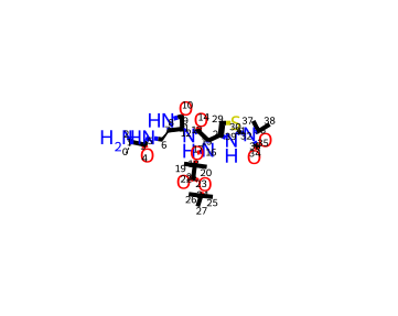 C[C@H](N)C(=O)NC[C@H]1NC(=O)[C@H]1NC(=O)/C(=N\OC(C)(C)C(=O)OC(C)(C)C)C1=CSC(N2C(=O)OC2(C)C)N1